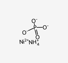 O=P([O-])([O-])[O-].[NH4+].[Ni+2]